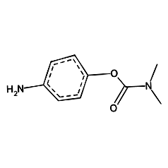 CN(C)C(=O)Oc1ccc(N)cc1